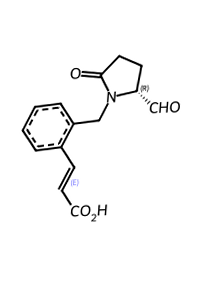 O=C[C@H]1CCC(=O)N1Cc1ccccc1/C=C/C(=O)O